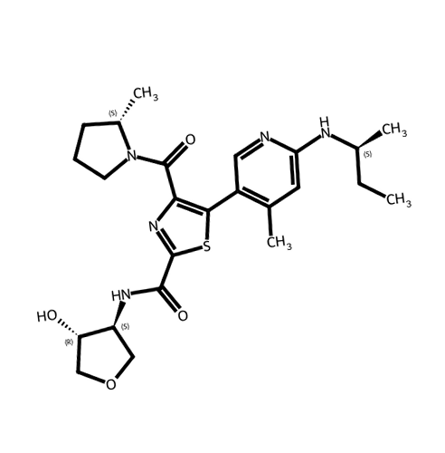 CC[C@H](C)Nc1cc(C)c(-c2sc(C(=O)N[C@H]3COC[C@@H]3O)nc2C(=O)N2CCC[C@@H]2C)cn1